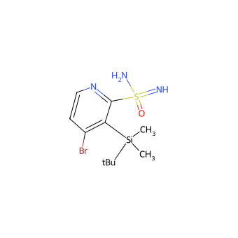 CC(C)(C)[Si](C)(C)c1c(Br)ccnc1S(=N)(N)=O